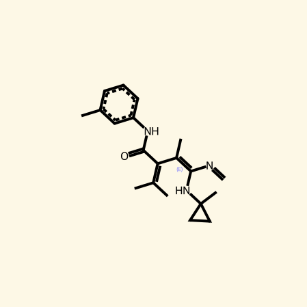 C=N/C(NC1(C)CC1)=C(\C)C(C(=O)Nc1cccc(C)c1)=C(C)C